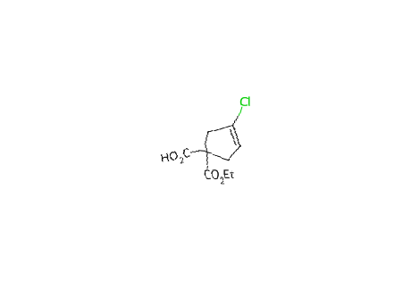 CCOC(=O)C1(C(=O)O)CC=C(Cl)C1